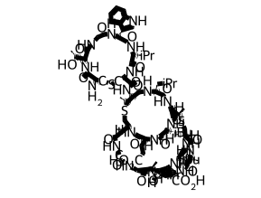 CC[C@@H](C)[C@H]1NC(=O)[C@H]2NC(=O)[C@@H](CC(C)C)NC(=O)[C@@H](NC(=O)C3CSC[C@H](N)C(=O)N[C@H]([C@@H](C)O)C(=O)NCC(=O)N[C@H](c4c[nH]c5ccccc45)C(=O)N[C@H](C(C)C)C(=O)N3)[C@@H](C)SC[C@@H](NC(=O)[C@@H](CCC(=O)O)NC1=O)C(=O)NCC(=O)NC1C(=O)N[C@H](C(C)C)C(=O)N[C@H]([C@H](C)CC)C(=O)N[C@H](CS[C@@H]2C)C(=O)N[C@H](C)C(=O)NC(C(=O)O)C[S+]([O-])[C@@H]1C